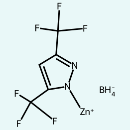 FC(F)(F)c1cc(C(F)(F)F)[n]([Zn+])n1.[BH4-]